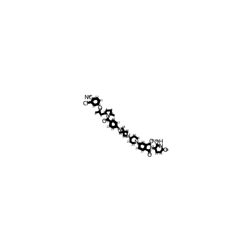 CC(CC1CCC(C)N1C(=O)c1ccc(N2CC3(C2)CN(C2CCN(c4ccc5c(c4)C(=O)N(C4CCC(=O)NC4=O)C5=O)CC2)C3)cc1)Oc1ccc(C#N)c(Cl)c1